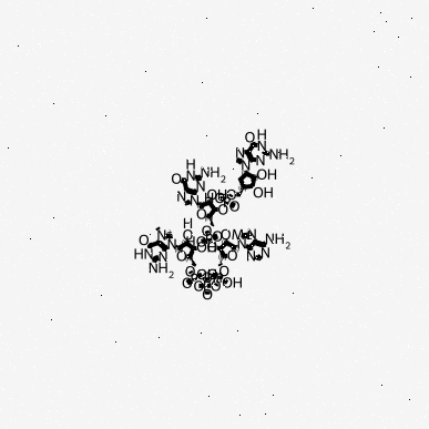 CO[C@H]1C(OP(=O)(O)OC[C@H]2O[C@@H](n3cnc4c(=O)[nH]c(N)nc43)[C@@H](O)C2OP(=O)(O)OC[C@H]2C[C@@H](n3cnc4c(=O)[nH]c(N)nc43)[C@@H](O)C2O)[C@@H](COP(=O)(O)OP(=O)(O)OP(=O)(O)OC[C@H]2O[C@@H](n3c[n+](C)c4c(=O)[nH]c(N)nc43)[C@@H](O)C2O)O[C@H]1n1cnc2c(N)ncnc21